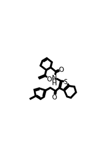 C=C(O)C1CC=CCC1C(=O)Nc1sc2c(c1C(=O)Cc1ccc(C)cc1)CCCC2